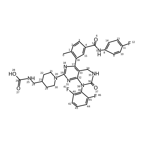 Cc1ccc(C(=O)Nc2ccc(F)cc2)cc1-c1nc(N2CCC(CNC(=O)O)CC2)nc2c1CNC(=O)N2c1c(F)cccc1F